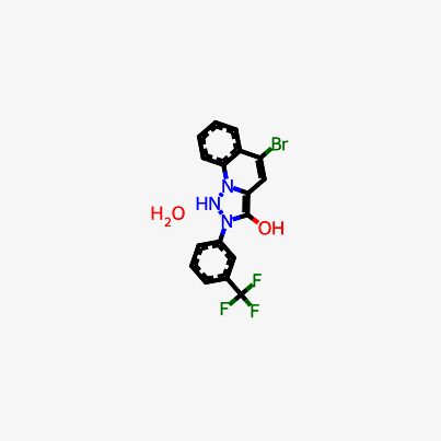 O.OC1=C2C=C(Br)c3ccccc3N2NN1c1cccc(C(F)(F)F)c1